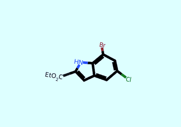 CCOC(=O)c1cc2cc(Cl)cc(Br)c2[nH]1